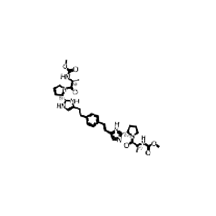 COC(=O)N[C@@H](C)C(=O)N1CCC[C@H]1c1ncc(CCc2ccc(CCC3=CNC([C@@H]4CCCN4C(=O)[C@H](C)NC(=O)OC)N3)cc2)[nH]1